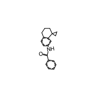 O=C(Nc1ccc2c(c1)C1(CCC2)CC1)c1ccccc1